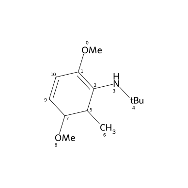 COC1=C(NC(C)(C)C)C(C)C(OC)C=C1